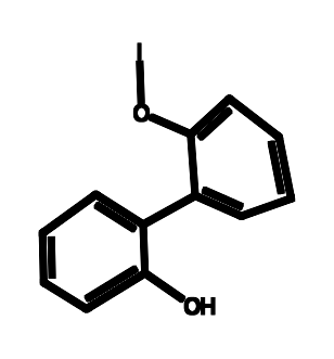 Oc1ccccc1-c1ccccc1OI